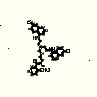 CN(CCCCN(CCNc1ccnc2cc(Cl)ccc12)CCNc1ccnc2cc(Cl)ccc12)C(=O)c1ccccc1C=O